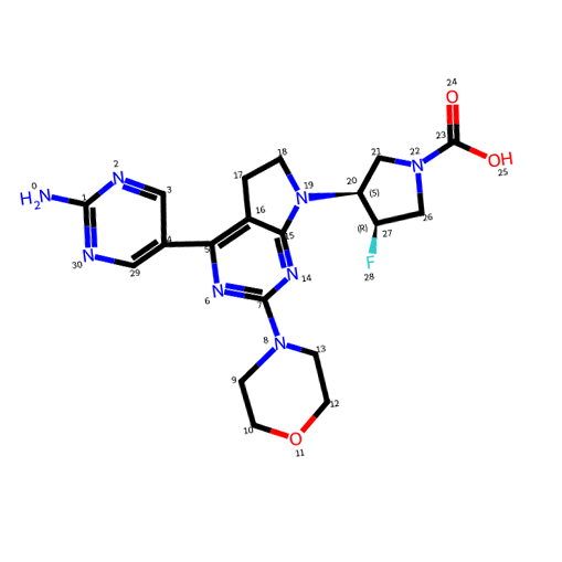 Nc1ncc(-c2nc(N3CCOCC3)nc3c2CCN3[C@H]2CN(C(=O)O)C[C@H]2F)cn1